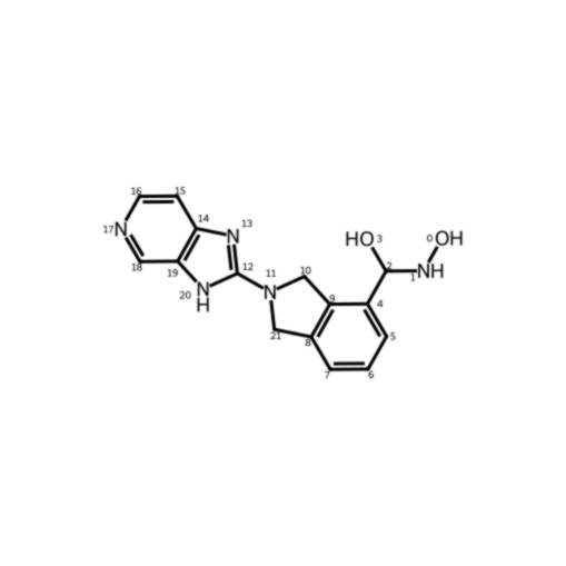 ONC(O)c1cccc2c1CN(c1nc3ccncc3[nH]1)C2